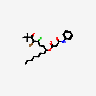 CCCCCCCC(CCC(Cl)C(Br)C(=O)C(C)(C)C)OC(=O)CC(=O)Nc1ccccc1